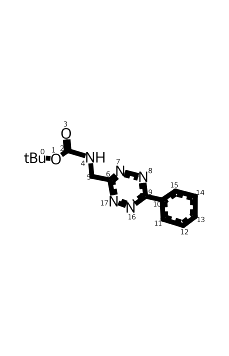 CC(C)(C)OC(=O)NCc1nnc(-c2ccccc2)nn1